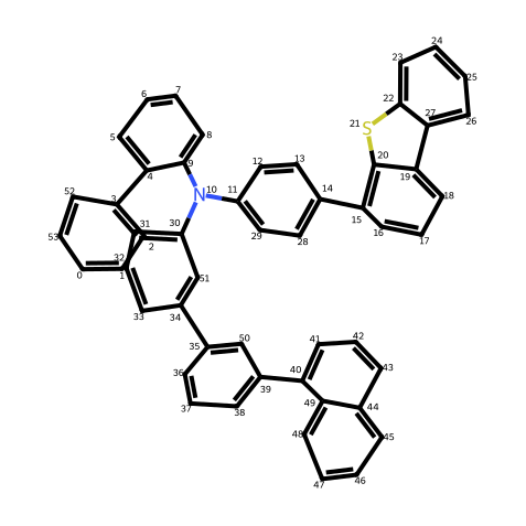 c1ccc(-c2ccccc2N(c2ccc(-c3cccc4c3sc3ccccc34)cc2)c2cccc(-c3cccc(-c4cccc5ccccc45)c3)c2)cc1